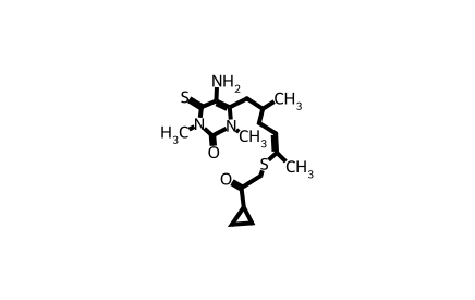 C/C(=C/CC(C)Cc1c(N)c(=S)n(C)c(=O)n1C)SCC(=O)C1CC1